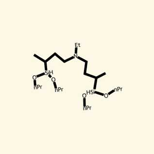 CCCO[SiH](OCCC)C(C)CCN(CC)CCC(C)[SiH](OCCC)OCCC